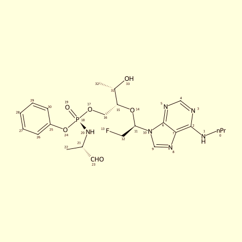 CCCNc1ncnc2c1ncn2[C@@H](CF)O[C@H](CO[P@](=O)(N[C@@H](C)C=O)Oc1ccccc1)[C@H](C)O